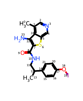 Cc1cncc2sc(C(=O)NCC(C)c3ccc(OI)cc3)c(N)c12